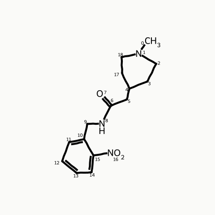 CN1CCC(CC(=O)NCc2ccccc2[N+](=O)[O-])CC1